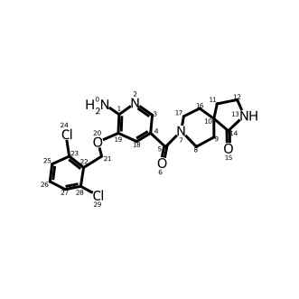 Nc1ncc(C(=O)N2CCC3(CCNC3=O)CC2)cc1OCc1c(Cl)cccc1Cl